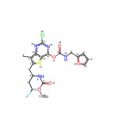 Cc1c(CC(CCF)NC(=O)OC(C)(C)C)sc2c(OC(=O)NCc3ccco3)nc(Cl)nc12